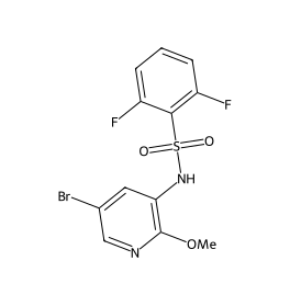 COc1ncc(Br)cc1NS(=O)(=O)c1c(F)cccc1F